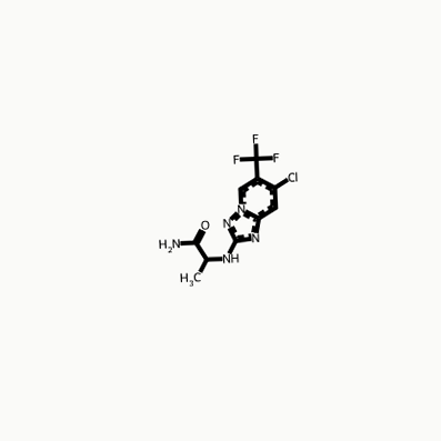 CC(Nc1nc2cc(Cl)c(C(F)(F)F)cn2n1)C(N)=O